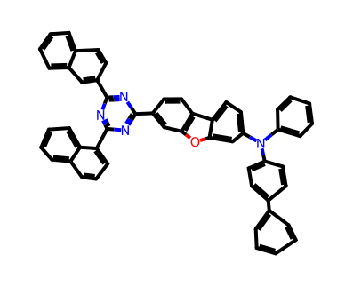 c1ccc(-c2ccc(N(c3ccccc3)c3ccc4c(c3)oc3cc(-c5nc(-c6ccc7ccccc7c6)nc(-c6cccc7ccccc67)n5)ccc34)cc2)cc1